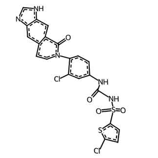 O=C(Nc1ccc(-n2ccc3cc4nc[nH]c4cc3c2=O)c(Cl)c1)NS(=O)(=O)c1ccc(Cl)s1